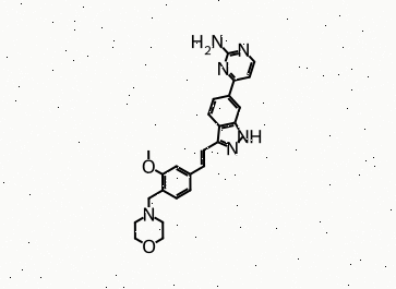 COc1cc(C=Cc2n[nH]c3cc(-c4ccnc(N)n4)ccc23)ccc1CN1CCOCC1